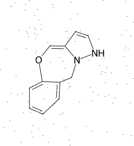 C1=CC2=COc3ccccc3CN2N1